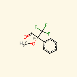 CO[C@@]([C]=O)(c1ccccc1)C(F)(F)F